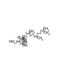 CC(C)=CCCC(C)=CCCC(C)=CCONC(=O)C(CP(=O)(O)O)C(=O)O